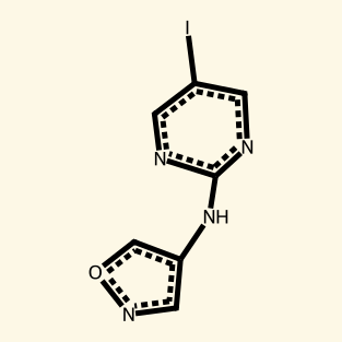 Ic1cnc(Nc2cnoc2)nc1